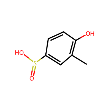 Cc1cc(S(=O)O)ccc1O